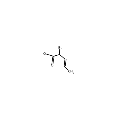 C/C=C/C(CC)C([O])=O